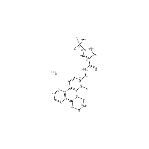 Cc1cc(-c2ccncc2N2CCNCC2)ccc1CNC(=O)c1nc(C2(C)CC2)no1.Cl